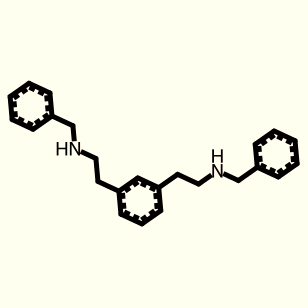 c1ccc(CNCCc2cccc(CCNCc3ccccc3)c2)cc1